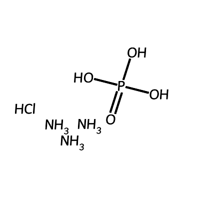 Cl.N.N.N.O=P(O)(O)O